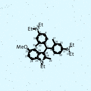 CCN(CC)c1ccc(C(c2ccc(N(CC)CC)cc2C)c2c(C)n(CC)c3ccc(OC)cc23)c(C)c1